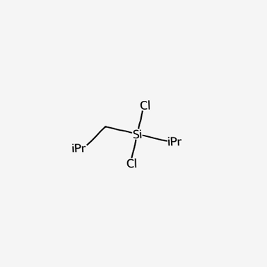 CC(C)C[Si](Cl)(Cl)C(C)C